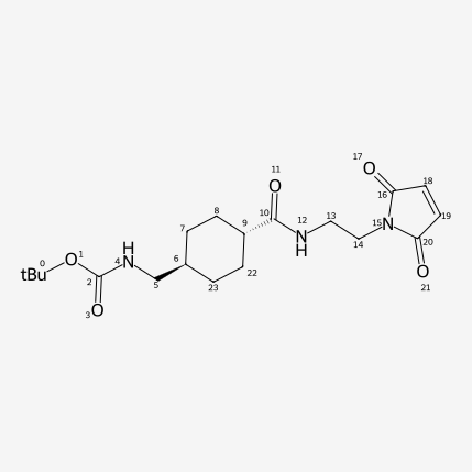 CC(C)(C)OC(=O)NC[C@H]1CC[C@H](C(=O)NCCN2C(=O)C=CC2=O)CC1